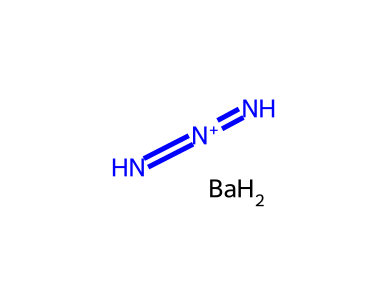 N=[N+]=N.[BaH2]